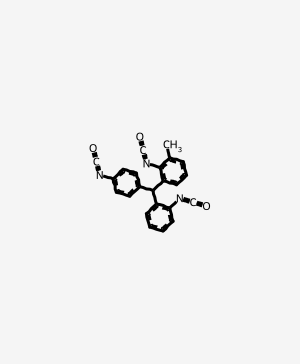 Cc1cccc(C(c2ccc(N=C=O)cc2)c2ccccc2N=C=O)c1N=C=O